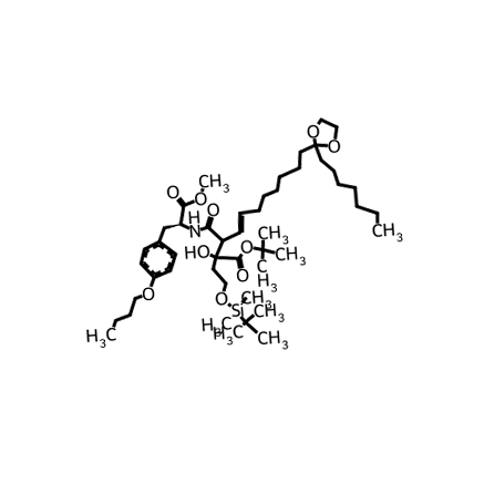 CCCCCCCC1(CCCCCC/C=C/C(C(=O)N[C@@H](Cc2ccc(OCCCC)cc2)C(=O)OC)C(O)(CCO[Si](C)(C)C(C)(C)C)C(=O)OC(C)(C)C)OCCO1